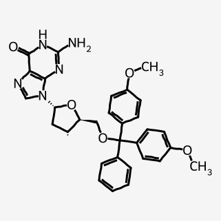 COc1ccc(C(OC[C@H]2[CH]C[C@H](n3cnc4c(=O)[nH]c(N)nc43)O2)(c2ccccc2)c2ccc(OC)cc2)cc1